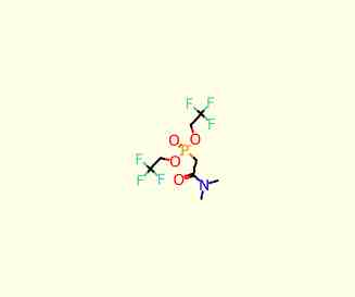 CN(C)C(=O)CP(=O)(OCC(F)(F)F)OCC(F)(F)F